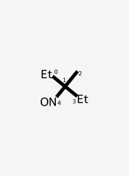 CCC(C)(CC)N=O